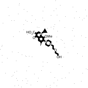 COc1c(N2CCN(CCOCCO)CC2)c(F)cc2c(=O)c(C(=O)O)cn(C3CC3)c12